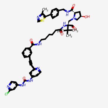 Cc1ncsc1-c1ccc(CNC(=O)[C@@H]2C[C@@H](O)CN2C[C@](C=O)(NC(=O)CCCCCNC(=O)c2cccc(C#Cc3cc(NC(=O)Nc4ccnc(Cl)c4)ccn3)c2)C(C)(C)C)cc1